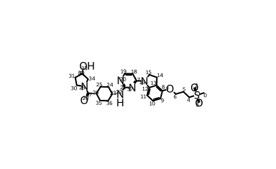 CS(=O)(=O)CCCOc1cccc2c1CCN2c1ccnc(N[C@H]2CC[C@H](C(=O)N3CC[C@@H](O)C3)CC2)n1